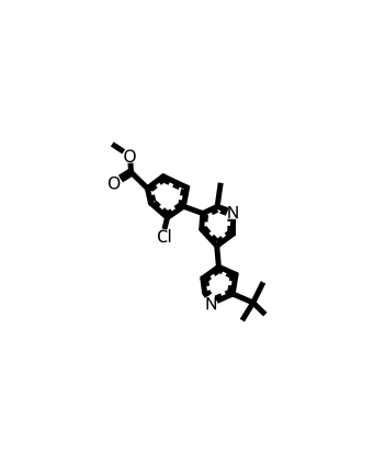 COC(=O)c1ccc(-c2cc(-c3ccnc(C(C)(C)C)c3)cnc2C)c(Cl)c1